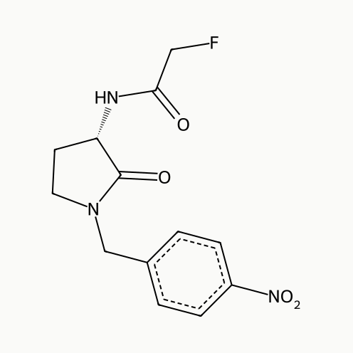 O=C(CF)N[C@H]1CCN(Cc2ccc([N+](=O)[O-])cc2)C1=O